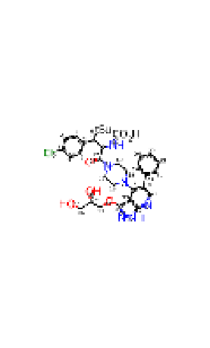 CC(C)(C)[C@H](c1ccc(Cl)cc1)C(NC(=O)O)C(=O)N1CCN(c2c(-c3ccccc3)cnc3[nH]nc(OC[C@H](O)CO)c23)CC1